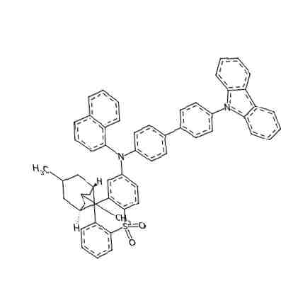 CC1C[C@H]2CC(C)C[C@H](C1)C21c2ccccc2S(=O)(=O)c2ccc(N(c3ccc(-c4ccc(-n5c6ccccc6c6ccccc65)cc4)cc3)c3cccc4ccccc34)cc21